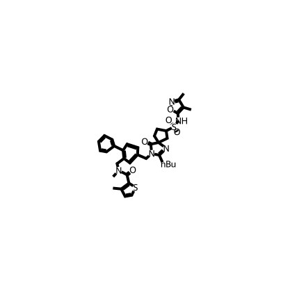 CCCCC1=NC2(CCC(S(=O)(=O)Nc3onc(C)c3C)C2)C(=O)N1Cc1ccc(-c2ccccc2)c(CN(C)C(=O)c2sccc2C)c1